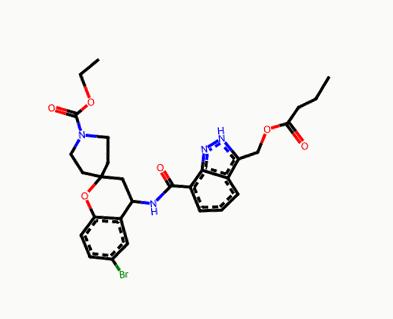 CCCC(=O)OCc1[nH]nc2c(C(=O)NC3CC4(CCN(C(=O)OCC)CC4)Oc4ccc(Br)cc43)cccc12